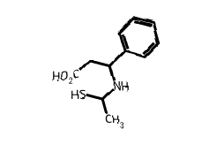 CC(S)NC(CC(=O)O)c1ccccc1